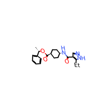 CCc1[nH]ncc1C(=O)N[C@H]1CC[C@H](C(=O)O[C@@H](C)c2ccccc2)CC1